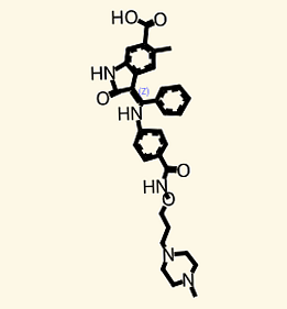 Cc1cc2c(cc1C(=O)O)NC(=O)/C2=C(\Nc1ccc(C(=O)NOCCCN2CCN(C)CC2)cc1)c1ccccc1